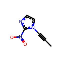 CC#Cn1ccnc1[N+](=O)[O-]